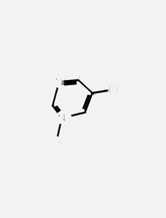 [O-][n+]1cncc(Br)c1